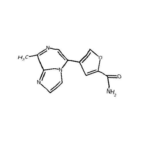 Cc1ncc(-c2coc(C(N)=O)c2)n2ccnc12